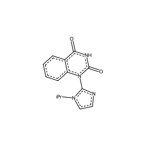 CC(C)n1ccnc1-n1c(=O)[nH]c(=O)c2ccccc21